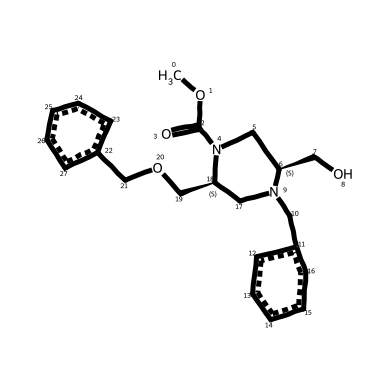 COC(=O)N1C[C@@H](CO)N(Cc2ccccc2)C[C@H]1COCc1ccccc1